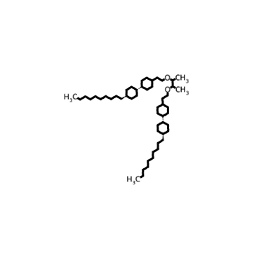 CCCCCCCCCC[C@H]1CC[C@H](C2CCC(CCOC(C)C(C)OCCC3CCC([C@H]4CC[C@H](CCCCCCCCCC)CC4)CC3)CC2)CC1